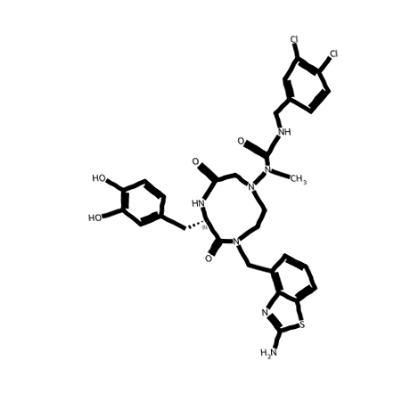 CN(C(=O)NCc1ccc(Cl)c(Cl)c1)N1CCN(Cc2cccc3sc(N)nc23)C(=O)[C@H](Cc2ccc(O)c(O)c2)NC(=O)C1